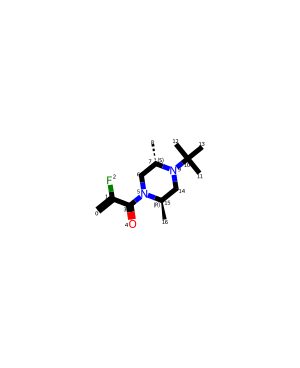 C=C(F)C(=O)N1C[C@H](C)N(C(C)(C)C)C[C@H]1C